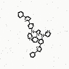 c1ccc(-c2ccc(-c3ccc(N(c4cccnc4)c4ccc(N(c5ccc(-c6ccc(-c7ccccc7)s6)cc5)c5cccnc5)n4-c4ccccc4)cc3)s2)cc1